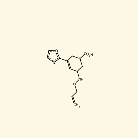 C=CCONC1C=C(c2ncco2)CN(C(=O)O)C1